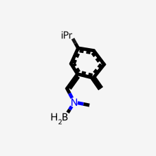 BN(C)/C=c1/cc(C(C)C)ccc1=C